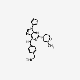 CC1CN(c2nc(Nc3ccc(CC=O)cc3)c3ncn(-c4ccsc4)c3n2)CCO1